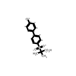 CC(C)(C(=O)O)S(=O)(=O)c1ccc(-c2ccc(Cl)cc2)cc1